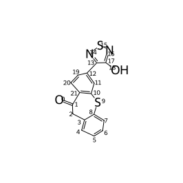 O=C1Cc2ccccc2Sc2cc(-c3nsnc3O)ccc21